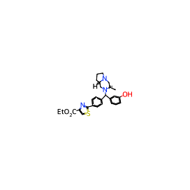 CCOC(=O)c1csc(-c2ccc(C(c3cccc(O)c3)N3C[C@@H]4CCCN4C[C@H]3C)cc2)n1